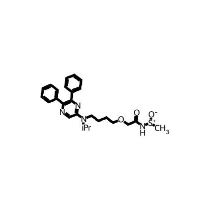 CC(C)N(CCCCOCC(=O)N[S+](C)[O-])c1cnc(-c2ccccc2)c(-c2ccccc2)n1